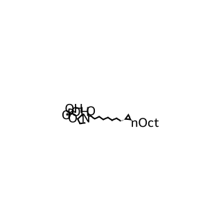 CCCCCCCC[C@H]1C[C@H]1CCCCCCCC(=O)N1CC[C@@H](OP(=O)(O)O)C1